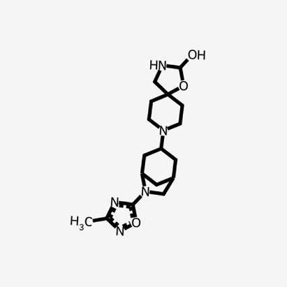 Cc1noc(N2CC3CC(N4CCC5(CC4)CNC(O)O5)CC2C3)n1